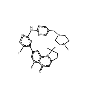 CN1CCN(Cc2ccc(Nc3ncc(F)c(-c4cc(F)c5c(=O)cc6n(c5c4)C(C)(C)CC6)n3)nc2)CC1